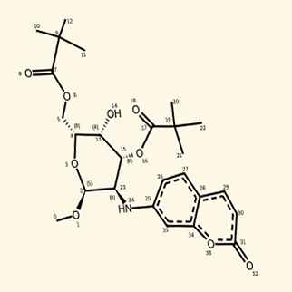 CO[C@H]1O[C@H](COC(=O)C(C)(C)C)[C@H](O)[C@H](OC(=O)C(C)(C)C)[C@H]1Nc1ccc2ccc(=O)oc2c1